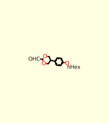 CCCCCCOc1ccc(C2COC(C=O)OC2)cc1